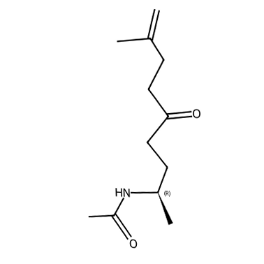 C=C(C)CCC(=O)CC[C@@H](C)NC(C)=O